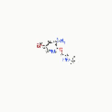 CC(C)(C)NCCOc1ncc(Br)cc1N